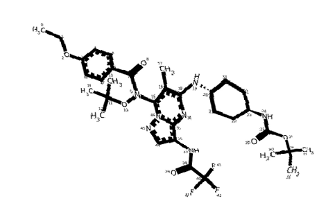 CCOc1ccc(C(=O)N(OC(C)(C)C)c2c(C)c(N[C@H]3CC[C@H](NC(=O)OC(C)(C)C)CC3)nc3c(NC(=O)C(F)(F)F)cnn23)cc1